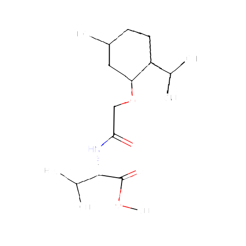 COC(=O)[C@@H](NC(=O)COC1CC(C)CCC1C(C)C)C(C)C